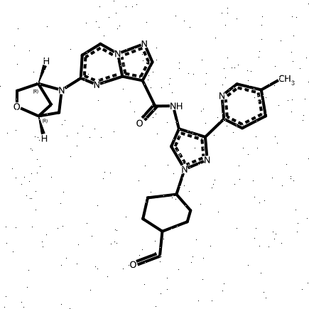 Cc1ccc(-c2nn(C3CCC(C=O)CC3)cc2NC(=O)c2cnn3ccc(N4C[C@H]5C[C@@H]4CO5)nc23)nc1